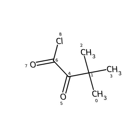 CC(C)(C)C(=O)C(=O)Cl